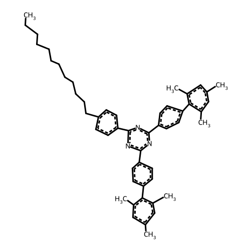 CCCCCCCCCCCCc1ccc(-c2nc(-c3ccc(-c4c(C)cc(C)cc4C)cc3)nc(-c3ccc(-c4c(C)cc(C)cc4C)cc3)n2)cc1